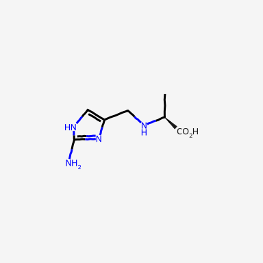 C[C@H](NCc1c[nH]c(N)n1)C(=O)O